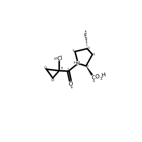 O=C(O)[C@@H]1C[C@@H](F)CN1C(=O)C1(Cl)CC1